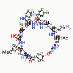 COc1ccc(C[C@@H]2NC(=O)[C@H]([C@@H](C)O)NC(=O)[C@@H]3C[C@H](F)CN3C(=O)[C@H](Cc3c[nH]c4ccc(F)cc34)NC(=O)[C@H](Cc3c[nH]c4ccc(F)cc34)NC(=O)[C@@H](C)NC(=O)[C@H](CCCCN)NC(=O)[C@@H](NC(C)=O)CC(=O)NCCOc3ccc(cc3)C[C@@H](C(N)=O)NC(=O)[C@]3(C)CCCN3C2=O)cc1